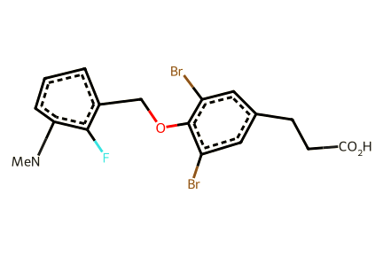 CNc1cccc(COc2c(Br)cc(CCC(=O)O)cc2Br)c1F